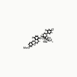 COc1ccc(CN2C(=O)CCc3c(OCC4(O)CCN(c5ccc(Cl)cc5F)CC4O[Si](C)(C)C(C)(C)C)ccc(F)c32)cc1